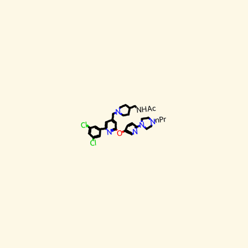 CCCN1CCN(c2ccc(Oc3cc(CN4CCC(CNC(C)=O)CC4)cc(-c4cc(Cl)cc(Cl)c4)n3)cn2)CC1